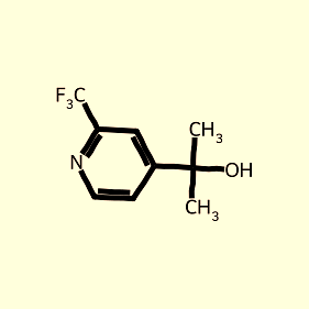 CC(C)(O)c1ccnc(C(F)(F)F)c1